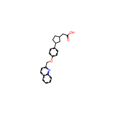 O=C(O)CC1CCC(c2ccc(OCc3ccc4ccccc4n3)cc2)C1